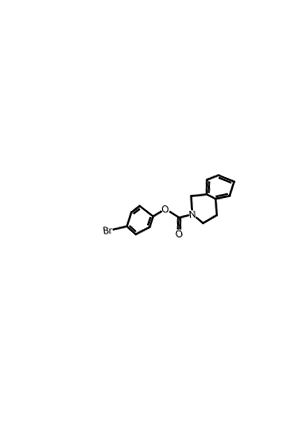 O=C(Oc1ccc(Br)cc1)N1CCc2ccccc2C1